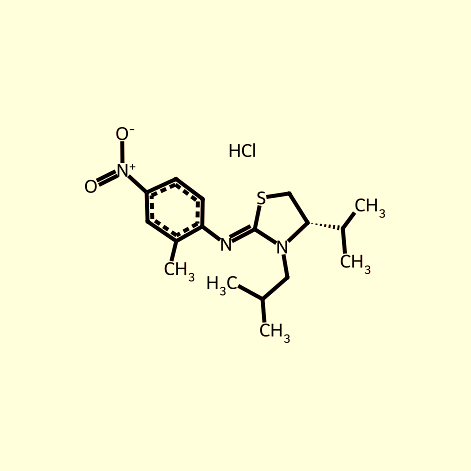 Cc1cc([N+](=O)[O-])ccc1/N=C1\SC[C@H](C(C)C)N1CC(C)C.Cl